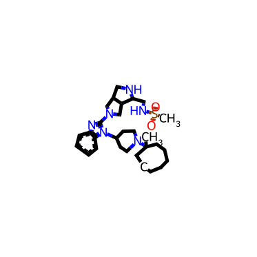 CC1(N2CCC(n3c(N4CC5CNC(CNS(C)(=O)=O)C5C4)nc4ccccc43)CC2)CCCCCCC1